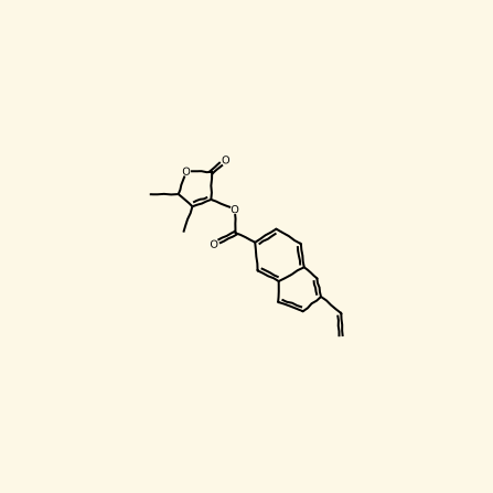 C=Cc1ccc2cc(C(=O)OC3=C(C)C(C)OC3=O)ccc2c1